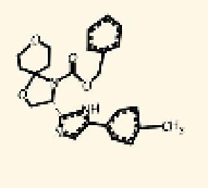 Cc1ccc(-c2cnc([C@@H]3COC4(CCOCC4)N3C(=O)OCc3ccccc3)[nH]2)cc1